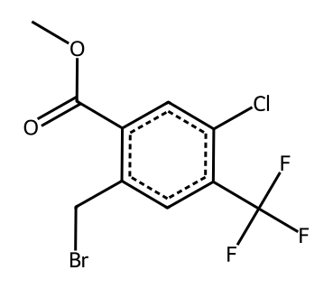 COC(=O)c1cc(Cl)c(C(F)(F)F)cc1CBr